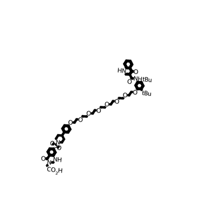 CC(C)(C)c1cc(C(C)(C)C)c(OCCOCCOCCOCCOCCOCCOCCOc2ccc(C3CCN(S(=O)(=O)c4ccc5c(c4)NCN(CC(=O)O)C5=O)CC3)cc2)cc1NC(=O)c1c[nH]c2ccccc2c1=O